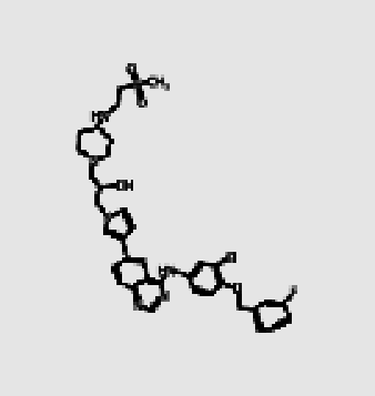 CS(=O)(=O)CCNC1CCN(C[C@@H](O)Cn2ccc(-c3ccc4ncnc(Nc5ccc(OCc6cccc(F)c6)c(Cl)c5)c4c3)c2)CC1